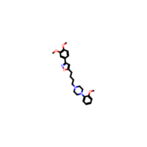 COc1ccc(-c2cc(CCCCN3CCN(c4ccccc4OC)CC3)on2)cc1OC